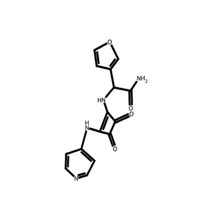 NC(=O)C(Nc1c(Nc2ccncc2)c(=O)c1=O)c1ccoc1